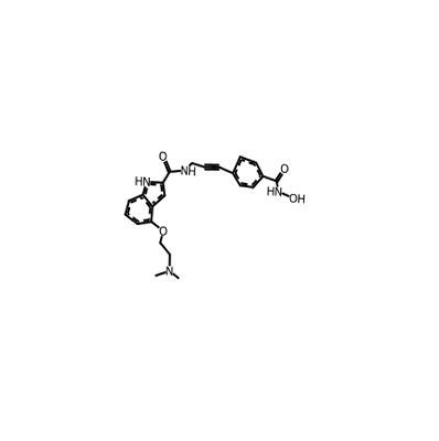 CN(C)CCOc1cccc2[nH]c(C(=O)NCC#Cc3ccc(C(=O)NO)cc3)cc12